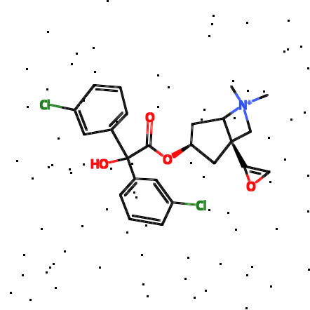 C[N+]1(C)C[C@]2(C3=CO3)C[C@@H](OC(=O)C(O)(c3cccc(Cl)c3)c3cccc(Cl)c3)CC21